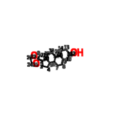 CC1(C2CCC3C4CC=C5C[C@@H](O)CC[C@]5(C)C4CC[C@@]32C)OCCO1